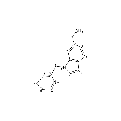 NCc1ccc2ncn(Cc3ccccn3)c2c1